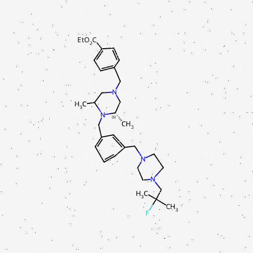 CCOC(=O)c1ccc(CN2CC(C)N(Cc3cccc(CN4CCN(CC(C)(C)F)CC4)c3)[C@@H](C)C2)cc1